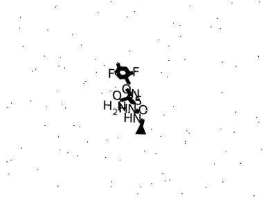 Cc1cc(F)c(COc2nsc(NC(=O)NCC3CC3)c2C(N)=O)cc1F